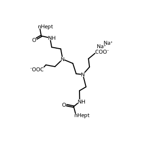 CCCCCCCC(=O)NCCN(CCC(=O)[O-])CCN(CCNC(=O)CCCCCCC)CCC(=O)[O-].[Na+].[Na+]